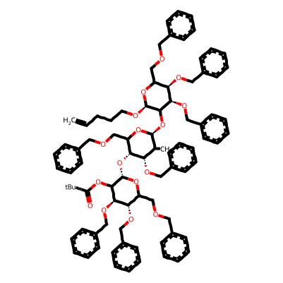 C=CCCCO[C@H]1OC(COCc2ccccc2)[C@@H](OCc2ccccc2)[C@@H](OCc2ccccc2)C1O[C@@H]1OC(COCc2ccccc2)[C@@H](O[C@@H]2OC(COCc3ccccc3)[C@H](OCc3ccccc3)[C@@H](OCc3ccccc3)C2OC(=O)C(C)(C)C)[C@@H](OCc2ccccc2)C1C